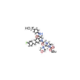 C[C@@H]1COCCN1C[C@H]1CN(C(=O)OC(C)(C)C)[C@H](C)CN1CC(=O)N1CC(C)(C(=O)Nc2ccc(C(=O)O)cc2)c2ccc(Cc3ccc(F)cc3)cc21